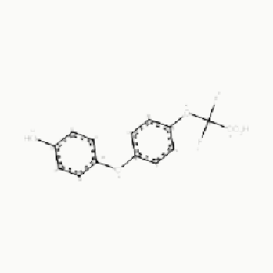 O=C(O)C(F)(F)Oc1ccc(Oc2ccc(O)cc2)cc1